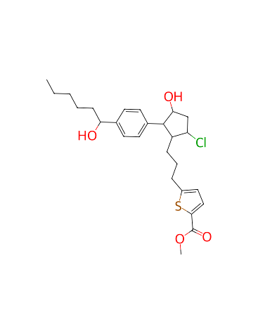 CCCCCC(O)c1ccc(C2C(O)CC(Cl)C2CCCc2ccc(C(=O)OC)s2)cc1